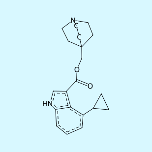 O=C(OCC12CCN(CC1)CC2)c1c[nH]c2cccc(C3CC3)c12